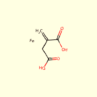 C=C(CC(=O)O)C(=O)O.[Fe]